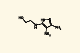 Nc1n[nH]c(NCCO)c1N